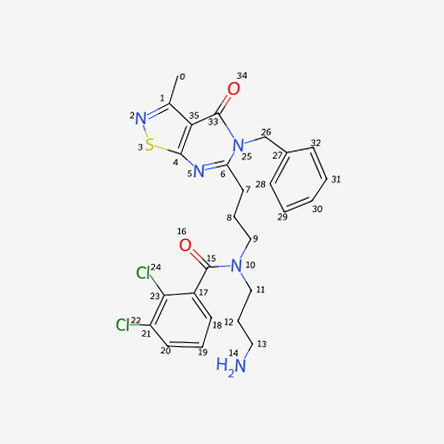 Cc1nsc2nc(CCCN(CCCN)C(=O)c3cccc(Cl)c3Cl)n(Cc3ccccc3)c(=O)c12